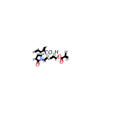 C=CCC(=C)C(=O)O.C=CCOC(=O)C(=C)C.C=CN1CCCC1=O